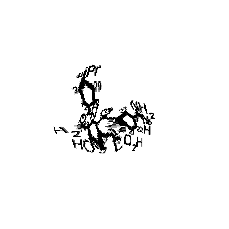 CC(C)c1ccc(C(=O)Nc2c(N)ccc(CC(=O)O)c2C(=O)c2cccc(C(=N)N)c2)cc1.Cl